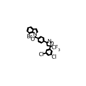 O=C(c1ccc(C2=NOC(c3cc(Cl)cc(Cl)c3)(C(F)(F)F)C2)cc1)n1ccc2cccc(Br)c21